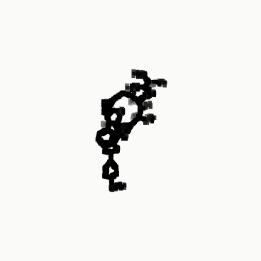 COc1ccc(-c2cnc(-c3nc4oc3[C@@]35c6ccccc6NC3Oc3ccc(cc35)C[C@H](NC(=O)[C@@H](O)C(C)C)C(=O)N[C@H]4C(C)C)o2)cc1